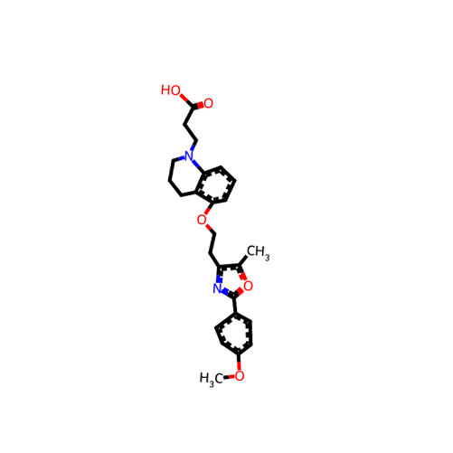 COc1ccc(-c2nc(CCOc3cccc4c3CCCN4CCC(=O)O)c(C)o2)cc1